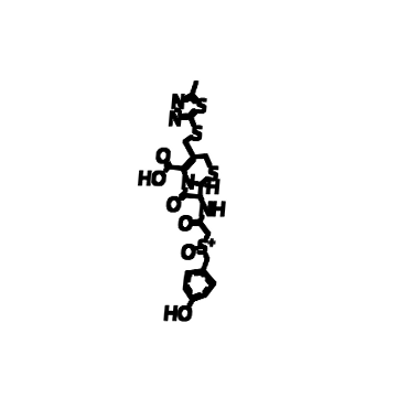 Cc1nnc(SCC2=C(C(=O)O)N3C(=O)C(NC(=O)C[S+]([O-])Cc4ccc(O)cc4)[C@@H]3SC2)s1